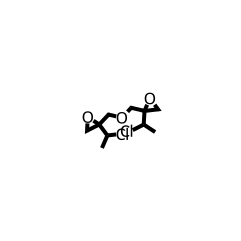 CC(Cl)C1(COCC2(C(C)Cl)CO2)CO1